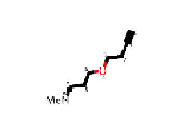 C#CCCOCCCNC